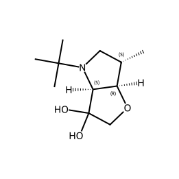 C[C@H]1CN(C(C)(C)C)[C@H]2[C@@H]1OCC2(O)O